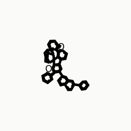 c1ccc(-c2ccc3ccc(-c4cc5c(c6oc7ccccc7c46)C4(c6c-5ccc5oc7ccccc7c65)C5CC6CC(C5)CC4C6)cc3c2)cc1